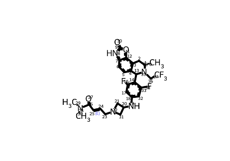 C[C@@H]1Cc2c(ccc3[nH]c(=O)oc23)C(c2c(F)cc(NC3CN(C/C=C/C(=O)N(C)C)C3)cc2F)N1CC(F)(F)F